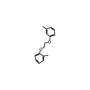 Cc1cccc(OCCOc2ccccc2C)c1